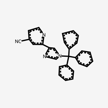 N#Cc1ccnc(-c2cn(C(c3ccccc3)(c3ccccc3)c3ccccc3)cn2)c1